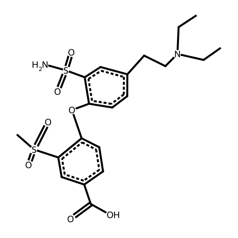 CCN(CC)CCc1ccc(Oc2ccc(C(=O)O)cc2S(C)(=O)=O)c(S(N)(=O)=O)c1